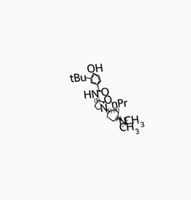 CCC[C@@H]1C[C@H](N(C)C)CC[C@@H]1N1CC[C@H](NC(=O)c2ccc(O)c(C(C)(C)C)c2)C1=O